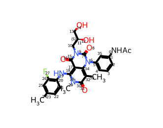 CC(=O)Nc1cccc(-n2c(=O)n(C[C@H](O)CO)c(=O)c3c(Nc4ccc(C)cc4F)n(C)c(=O)c(C)c32)c1